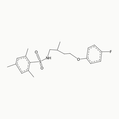 Cc1cc(C)c(S(=O)(=O)NCC(C)CCOc2ccc(F)cc2)c(C)c1